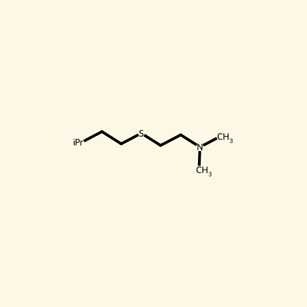 CC(C)CCSCCN(C)C